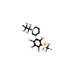 [2H]c1c([2H])c([C@H]2CCCN(C([2H])([2H])C([2H])([2H])C)C2)c([2H])c(S(=O)(=O)C([2H])([2H])[2H])c1[2H]